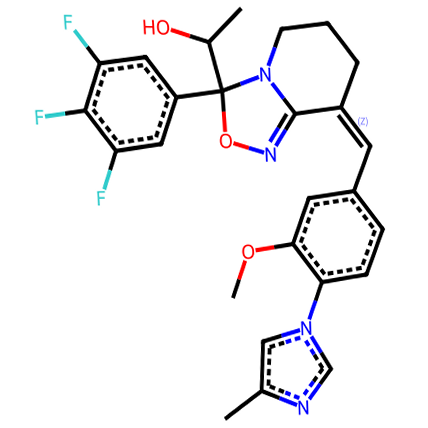 COc1cc(/C=C2/CCCN3C2=NOC3(c2cc(F)c(F)c(F)c2)C(C)O)ccc1-n1cnc(C)c1